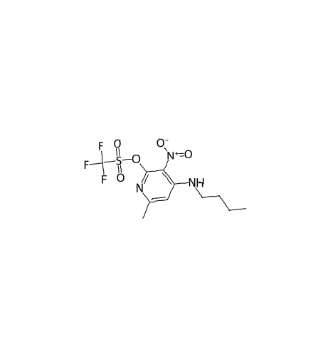 CCCCNc1cc(C)nc(OS(=O)(=O)C(F)(F)F)c1[N+](=O)[O-]